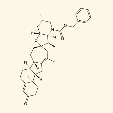 CC1=C2C[C@H]3[C@@H](CCC4=CC(=O)CC[C@@]43C)[C@@H]2CC[C@@]2(C1)O[C@@H]1C[C@H](C)CN(C(=O)OCc3ccccc3)[C@H]1[C@H]2C